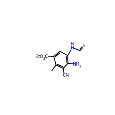 CCOC(=O)c1cc(NC=S)c(N)c(C#N)c1C